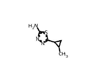 CC1CC1c1nnc(N)s1